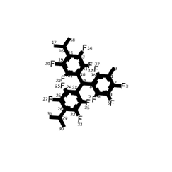 Cc1c(F)c(F)c(F)c(C(c2c(F)c(F)c(C(C)C)c(F)c2F)c2c(F)c(F)c(C(C)C)c(F)c2F)c1F